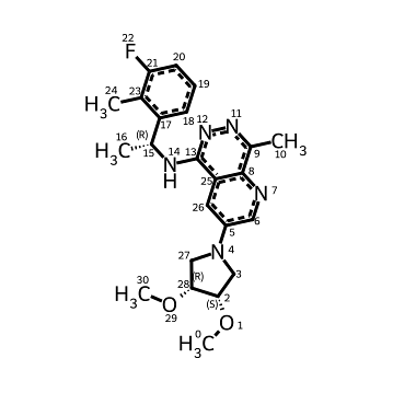 CO[C@H]1CN(c2cnc3c(C)nnc(N[C@H](C)c4cccc(F)c4C)c3c2)C[C@H]1OC